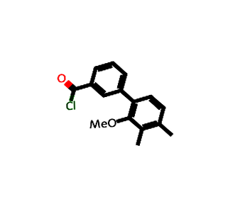 COc1c(-c2cccc(C(=O)Cl)c2)ccc(C)c1C